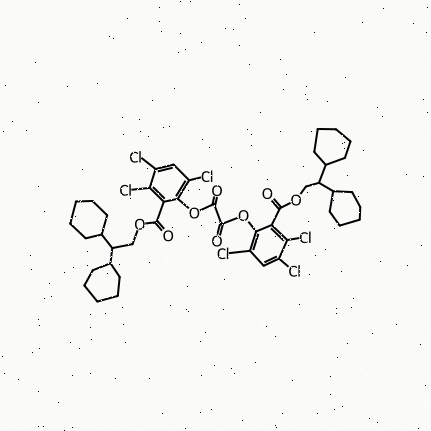 O=C(Oc1c(Cl)cc(Cl)c(Cl)c1C(=O)OCC(C1CCCCC1)C1CCCCC1)C(=O)Oc1c(Cl)cc(Cl)c(Cl)c1C(=O)OCC(C1CCCCC1)C1CCCCC1